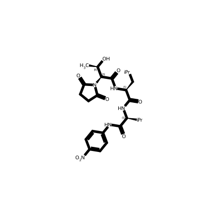 CC(C)C[C@H](NC(=O)[C@H]([C@@H](C)O)N1C(=O)CCC1=O)C(=O)N[C@H](C(=O)Nc1ccc([N+](=O)[O-])cc1)C(C)C